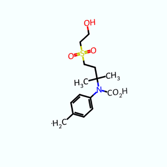 [CH2]c1ccc(N(C(=O)O)C(C)(C)CCS(=O)(=O)CCO)cc1